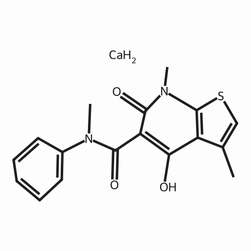 Cc1csc2c1c(O)c(C(=O)N(C)c1ccccc1)c(=O)n2C.[CaH2]